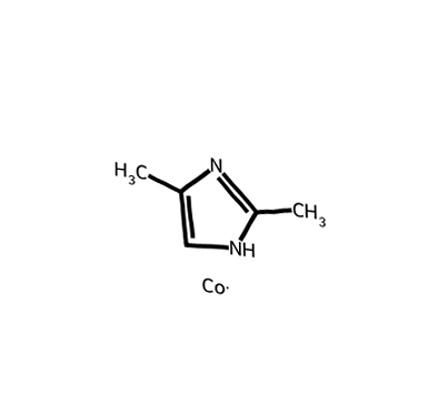 Cc1c[nH]c(C)n1.[Co]